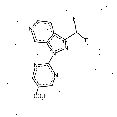 O=C(O)c1cnc(-n2nc(C(F)F)c3ccncc32)nc1